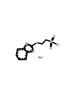 O=S(=O)([O-])CCSc1nc2ccccc2s1.[Na+]